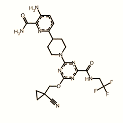 N#CC1(COc2nc(C(=O)NCC(F)(F)F)nc(N3CCC(c4ccc(N)c(C(N)=O)n4)CC3)n2)CC1